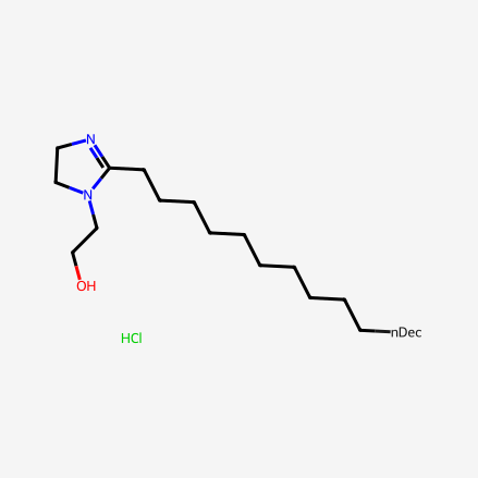 CCCCCCCCCCCCCCCCCCCCC1=NCCN1CCO.Cl